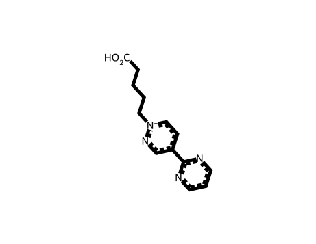 O=C(O)CCCC[n+]1ccc(-c2ncccn2)cn1